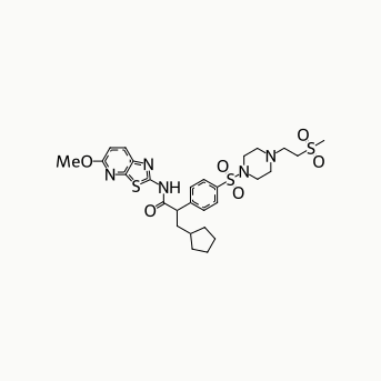 COc1ccc2nc(NC(=O)C(CC3CCCC3)c3ccc(S(=O)(=O)N4CCN(CCS(C)(=O)=O)CC4)cc3)sc2n1